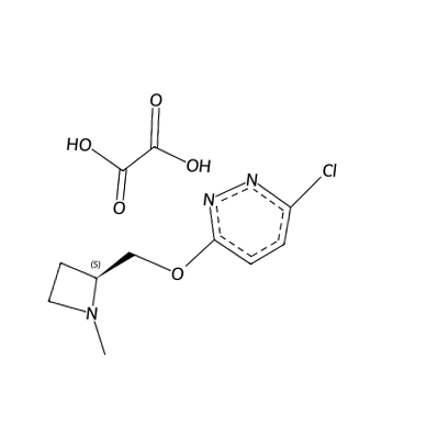 CN1CC[C@H]1COc1ccc(Cl)nn1.O=C(O)C(=O)O